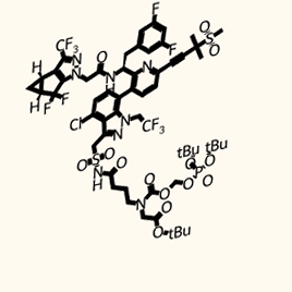 CC(C)(C)OC(=O)CN(CCCC(=O)NS(=O)(=O)Cc1nn(CC(F)(F)F)c2c(-c3ccc(C#CC(C)(C)S(C)(=O)=O)nc3[C@H](Cc3cc(F)cc(F)c3)NC(=O)Cn3nc(C(F)(F)F)c4c3C(F)(F)[C@@H]3C[C@H]43)ccc(Cl)c12)C(=O)OCOP(=O)(OC(C)(C)C)OC(C)(C)C